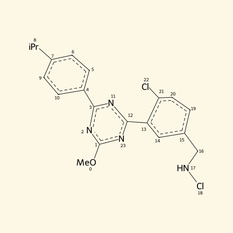 COc1nc(-c2ccc(C(C)C)cc2)nc(-c2cc(CNCl)ccc2Cl)n1